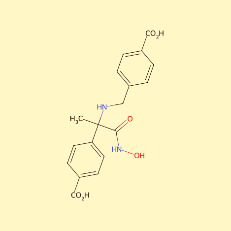 CC(NCc1ccc(C(=O)O)cc1)(C(=O)NO)c1ccc(C(=O)O)cc1